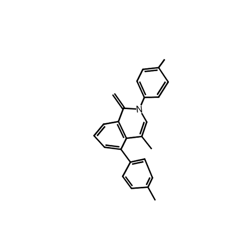 C=C1c2cccc(-c3ccc(C)cc3)c2C(C)=CN1c1ccc(C)cc1